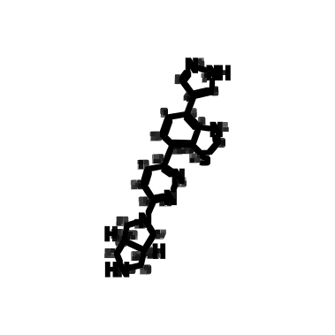 c1nc2c(-c3cn[nH]c3)ccc(-c3ccc(N4C[C@H]5CNC[C@H]5C4)nn3)c2s1